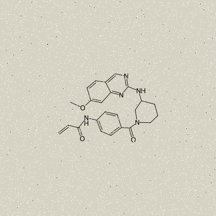 C=CC(=O)Nc1ccc(C(=O)N2CCCC(Nc3ncc4ccc(OC)cc4n3)C2)cc1